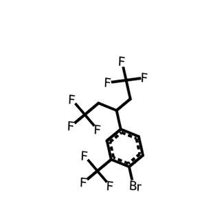 FC(F)(F)CC(CC(F)(F)F)c1ccc(Br)c(C(F)(F)F)c1